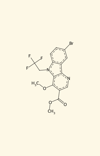 COC(=O)c1cnc2c3cc(Br)ccc3n(CC(F)(F)F)c2c1OC